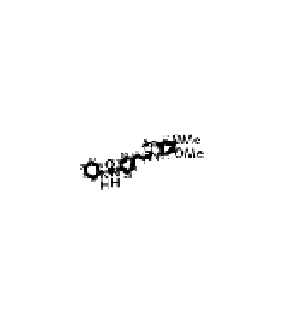 COc1cc(NC(=O)CCc2ccc(NC(=O)NC3CCCCC3)cc2)c(C(C)=O)cc1OC